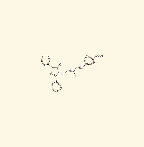 CC(/C=C/c1ccc(C(=O)O)cc1)=C\C=C1/C(=O)N(c2ccccn2)N=C1c1ccccn1